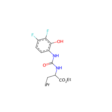 CCOC(=O)C(CC(C)C)NC(=O)Nc1ccc(F)c(F)c1O